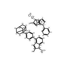 CC1=C2c3c(ccn3-c3ccccc3)C1[Si]2(C)C.CC1=Cc2c(-c3ccc(C45CC6CC(CC(C6)C4)C5)cc3)cccc2[CH]1[Zr+2].[Cl-].[Cl-]